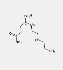 NCCNCCN[C@@H](CCC(N)=O)C(=O)O